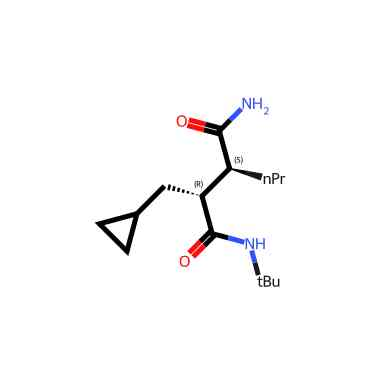 CCC[C@H](C(N)=O)[C@@H](CC1CC1)C(=O)NC(C)(C)C